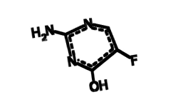 Nc1ncc(F)c(O)n1